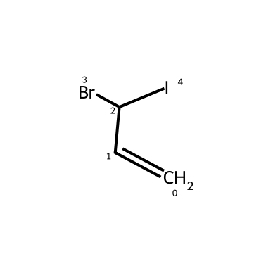 C=CC(Br)I